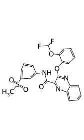 CS(=O)(=O)c1cccc(NC(=O)c2nc3ccccc3nc2Oc2ccccc2OC(F)F)c1